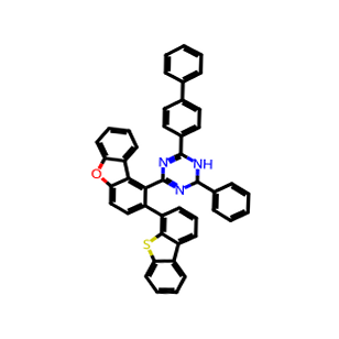 c1ccc(-c2ccc(C3=NC(c4c(-c5cccc6c5sc5ccccc56)ccc5oc6ccccc6c45)=NC(c4ccccc4)N3)cc2)cc1